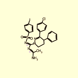 C/C(N)=N\C(=N\S(=O)(=O)c1ccc(I)cc1)N1CCC(c2ccccc2)C(c2ccc(Cl)cc2)=N1